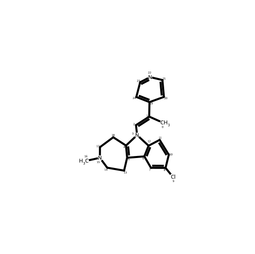 CC(=Cn1c2c(c3cc(Cl)ccc31)CCN(C)CC2)c1ccncc1